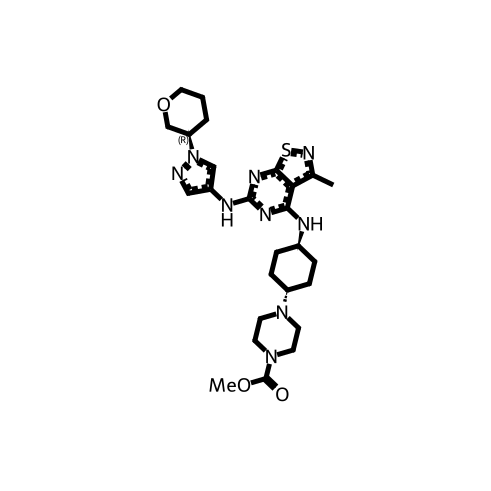 COC(=O)N1CCN([C@H]2CC[C@H](Nc3nc(Nc4cnn([C@@H]5CCCOC5)c4)nc4snc(C)c34)CC2)CC1